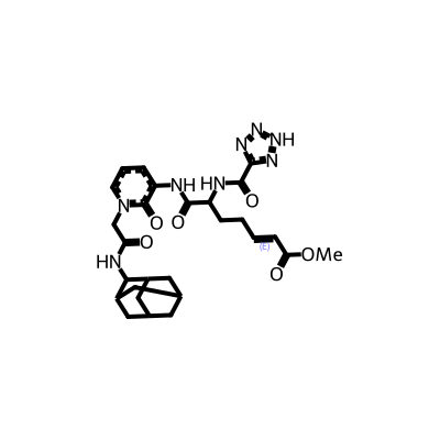 COC(=O)/C=C/CCC(NC(=O)c1nn[nH]n1)C(=O)Nc1cccn(CC(=O)NC2C3CC4CC(C3)CC2C4)c1=O